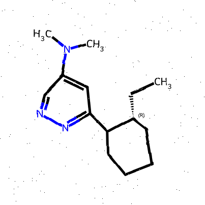 CC[C@@H]1CCCCC1c1cc(N(C)C)cnn1